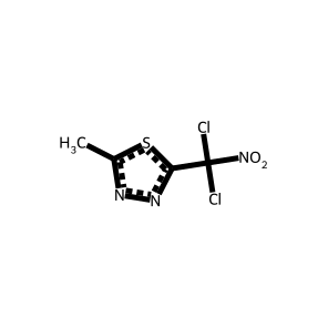 Cc1nnc(C(Cl)(Cl)[N+](=O)[O-])s1